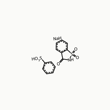 O=C1NS(=O)(=O)c2ccccc21.O=S(=O)(O)c1ccccc1.[NaH]